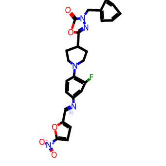 O=c1oc(C2CCN(c3ccc(/N=C/c4ccc([N+](=O)[O-])o4)cc3F)CC2)nn1Cc1ccccc1